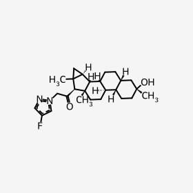 CC12C[C@H]1[C@H]1[C@@H]3CC[C@@H]4C[C@](C)(O)CC[C@@H]4[C@H]3CC[C@]1(C)[C@H]2C(=O)Cn1cc(F)cn1